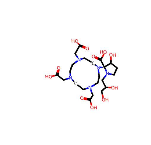 O=C(O)CN1CCN(CC(=O)O)CCN([C@@]2(C(=O)O)C(O)CCN2CC(O)CO)CCN(CC(=O)O)CC1